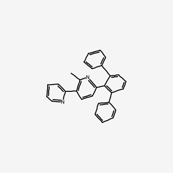 Cc1nc(-c2c(-c3ccccc3)cccc2-c2ccccc2)ccc1-c1ccccn1